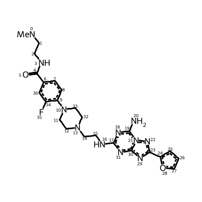 CNCCNC(=O)c1ccc(N2CCN(CCNc3nc(N)n4nc(-c5ccco5)nc4n3)CC2)c(F)c1